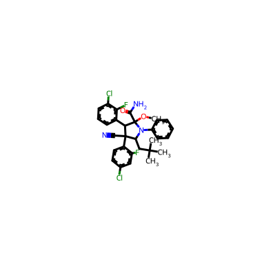 COC1(C(N)=O)C(c2cccc(Cl)c2F)C(C#N)(c2ccc(Cl)cc2F)C(CC(C)(C)C)N1c1ccccc1